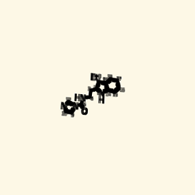 CCc1c(CCNC(=O)n2ccnc2)[nH]c2ccccc12